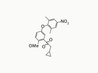 COc1ccc(Oc2c(C)cc([N+](=O)[O-])cc2C)cc1S(=O)(=O)CC1CC1